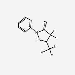 CC1(C)C(=O)N(c2ccccc2)NC1C(F)(F)F